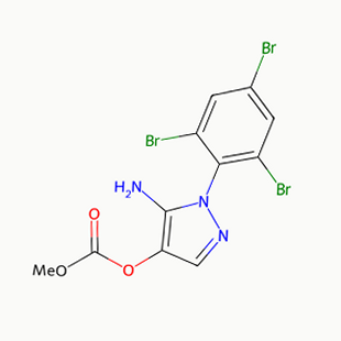 COC(=O)Oc1cnn(-c2c(Br)cc(Br)cc2Br)c1N